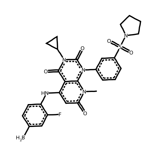 Bc1ccc(Nc2cc(=O)n(C)c3c2c(=O)n(C2CC2)c(=O)n3-c2cccc(S(=O)(=O)N3CCCC3)c2)c(F)c1